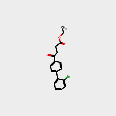 CCOC(=O)CCC(=O)c1ccc(-c2ccccc2Br)cc1